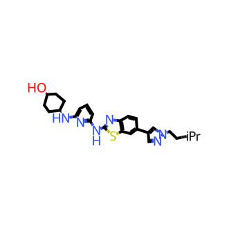 CC(C)CCn1cc(-c2ccc3nc(Nc4cccc(N[C@H]5CC[C@H](O)CC5)n4)sc3c2)cn1